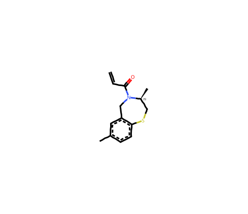 C=CC(=O)N1Cc2cc(C)ccc2SC[C@@H]1C